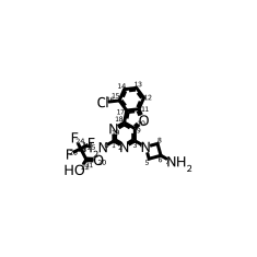 Nc1nc(N2CC(N)C2)c2oc3cccc(Cl)c3c2n1.O=C(O)C(F)(F)F